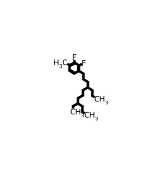 CCCC(CC)CCCC(CCC)CCCc1ccc(C)c(F)c1F